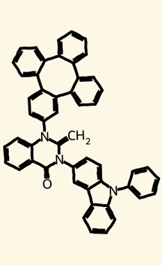 C=C1N(c2ccc3c(c2)c2ccccc2n3-c2ccccc2)C(=O)c2ccccc2N1c1ccc2c(c1)-c1ccccc1-c1ccccc1-c1ccccc1-2